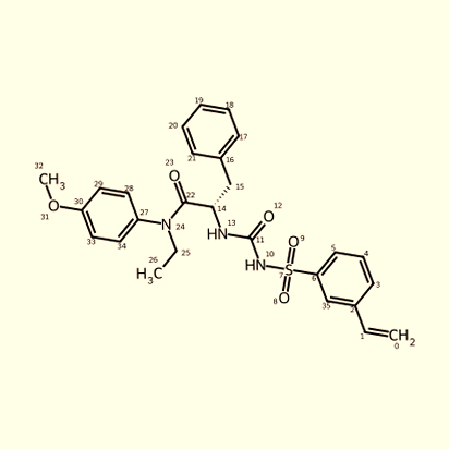 C=Cc1cccc(S(=O)(=O)NC(=O)N[C@@H](Cc2ccccc2)C(=O)N(CC)c2ccc(OC)cc2)c1